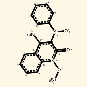 CCCCOn1c(=O)c([S+]([O-])c2ccccc2)c(CCCC)c2ccccc21